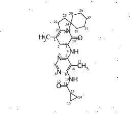 Cc1cc(Nc2ncnc(NC(=O)C3CC3)c2C)c(=O)n2c1CCC21CCCCC1